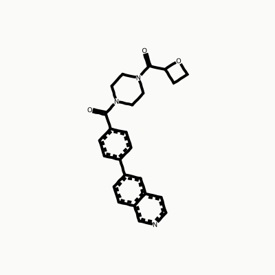 O=C(c1ccc(-c2ccc3cnccc3c2)cc1)N1CCN(C(=O)C2CCO2)CC1